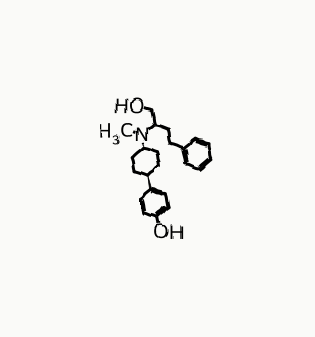 CN(C(CO)CCc1ccccc1)[C@H]1CC[C@H](c2ccc(O)cc2)CC1